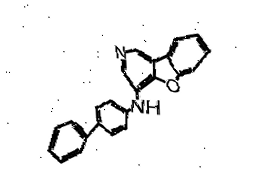 c1ccc(-c2ccc(Nc3cncc4c3oc3ccccc34)cc2)cc1